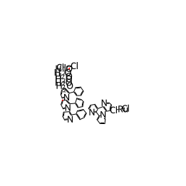 O.O.O.O.O.O.[Cl][Ir][Cl].[Cl][Ru][Cl].c1ccc(-c2ccccn2)cc1.c1ccc(-c2ccccn2)cc1.c1ccc(-c2ccccn2)cc1.c1ccc(-c2cccnc2-c2ccccn2)nc1